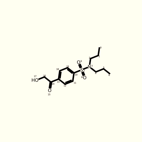 CCCN(CCC)S(=O)(=O)c1ccc(C(=O)CO)cc1